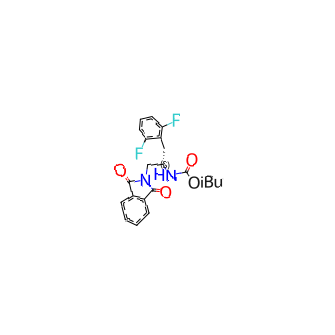 CC(C)COC(=O)N[C@@H](Cc1c(F)cccc1F)CN1C(=O)c2ccccc2C1=O